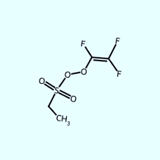 CCS(=O)(=O)OOC(F)=C(F)F